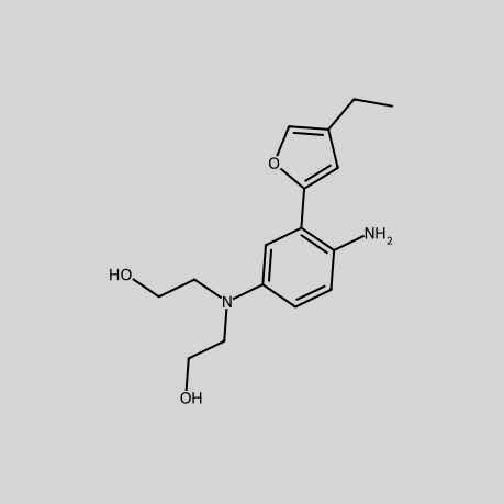 CCc1coc(-c2cc(N(CCO)CCO)ccc2N)c1